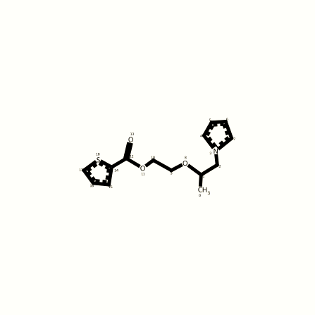 CC(Cn1cccc1)OCCOC(=O)c1cccs1